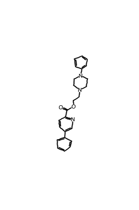 O=C(OCCN1CCN(c2ccccc2)CC1)c1ccc(-c2ccccc2)cn1